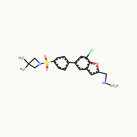 CC1(C)CN(S(=O)(=O)c2ccc(-c3cc(Cl)c4oc(CNC(=O)O)cc4c3)cc2)C1